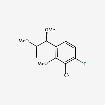 COc1c([C@H](OC)C(C)OC)ccc(F)c1C#N